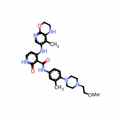 COCCN1CCN(c2ccc(NC(=O)c3c(Nc4cnc5c(c4C)NCCO5)cc[nH]c3=O)cc2C)CC1